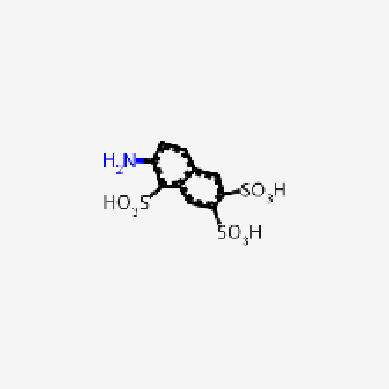 Nc1ccc2cc(S(=O)(=O)O)c(S(=O)(=O)O)cc2c1S(=O)(=O)O